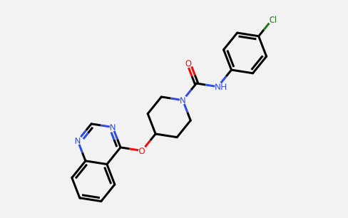 O=C(Nc1ccc(Cl)cc1)N1CCC(Oc2ncnc3ccccc23)CC1